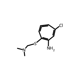 CN(C)CSC1=C(N)C=C(Cl)C=C=C1